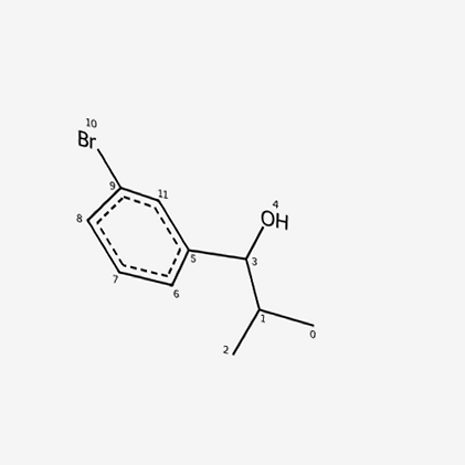 CC(C)C(O)c1cccc(Br)c1